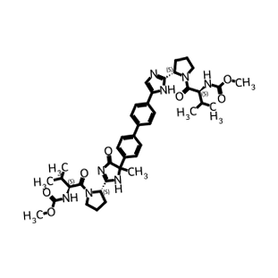 COC(=O)N[C@H](C(=O)N1CCC[C@H]1C1=NC(=O)C(C)(c2ccc(-c3ccc(-c4cnc([C@@H]5CCCN5C(=O)[C@@H](NC(=O)OC)C(C)C)[nH]4)cc3)cc2)N1)C(C)C